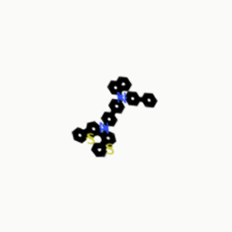 c1ccc(-c2ccc(N(c3ccc(-c4ccc(-n5c6ccc7c8ccccc8sc7c6c6c7c(ccc65)sc5ccccc57)cc4)cc3)c3cccc4ccccc34)cc2)cc1